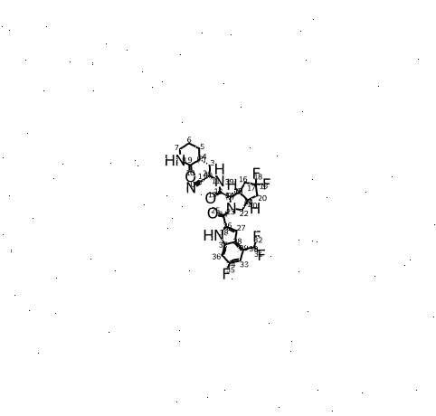 N#C[C@@H](C[C@H]1CCCNC1=O)NC(=O)[C@H]1[C@H]2CC(F)(F)C[C@H]2CN1C(=O)c1cc2c(C(F)F)cc(F)cc2[nH]1